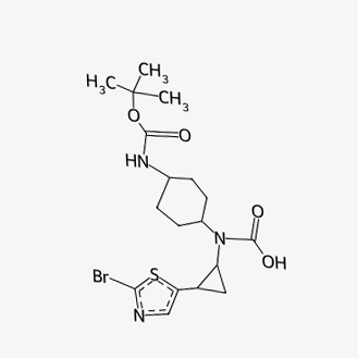 CC(C)(C)OC(=O)NC1CCC(N(C(=O)O)C2CC2c2cnc(Br)s2)CC1